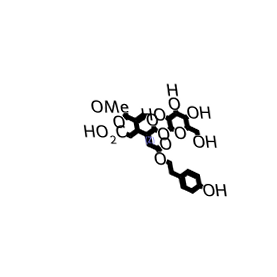 COC(=O)C1=COC(OC2OC(CO)C(O)C(O)C2O)/C(=C\C(=O)OCCC2=CCC(O)C=C2)C1CC(=O)O